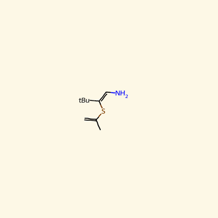 C=C(C)S/C(=C\N)C(C)(C)C